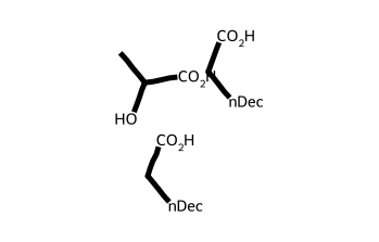 CC(O)C(=O)O.CCCCCCCCCCCC(=O)O.CCCCCCCCCCCC(=O)O